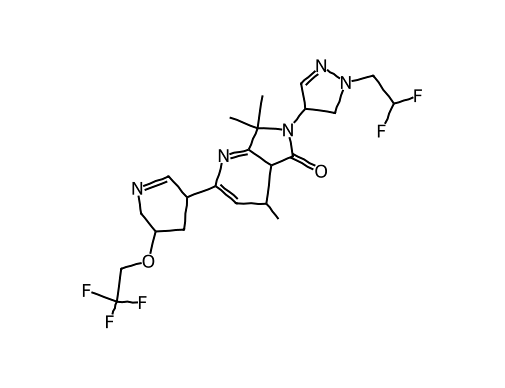 CC1C=C(C2C=NCC(OCC(F)(F)F)C2)N=C2C1C(=O)N(C1C=NN(CC(F)F)C1)C2(C)C